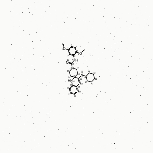 COc1ccc(OC)c(NC(=O)N2CCC3(CC2)Nc2cccnc2N=C3NC2CCCCC2)c1